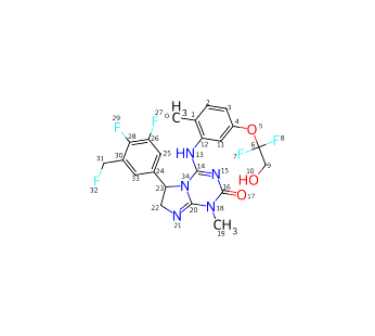 Cc1ccc(OC(F)(F)CO)cc1NC1=NC(=O)N(C)C2=NCC(c3cc(F)c(F)c(CF)c3)N12